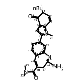 CCCCC1C=Cc2c(cc(-c3ccc4c(c3)N=C(N)CC(C(=O)N(C)C)=C4)n2C)C1=O